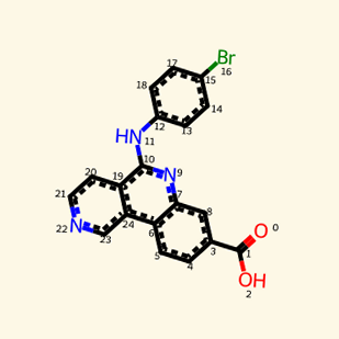 O=C(O)c1ccc2c(c1)nc(Nc1ccc(Br)cc1)c1ccncc12